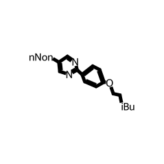 CCCCCCCCCc1cnc(-c2ccc(OCCC(C)CC)cc2)nc1